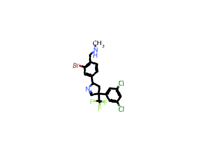 CNCc1ccc(C2CC(c3cc(Cl)cc(Cl)c3)(C(F)(F)F)C=N2)cc1Br